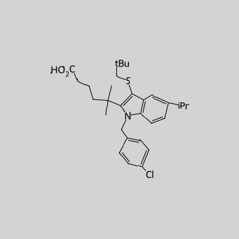 CC(C)c1ccc2c(c1)c(SCC(C)(C)C)c(C(C)(C)CCCC(=O)O)n2Cc1ccc(Cl)cc1